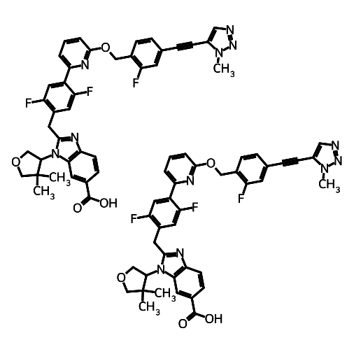 Cn1nncc1C#Cc1ccc(COc2cccc(-c3cc(F)c(Cc4nc5ccc(C(=O)O)cc5n4C4COCC4(C)C)cc3F)n2)c(F)c1.Cn1nncc1C#Cc1ccc(COc2cccc(-c3cc(F)c(Cc4nc5ccc(C(=O)O)cc5n4C4COCC4(C)C)cc3F)n2)c(F)c1